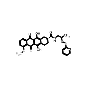 COc1cccc2c1C(=O)c1c(O)c3c(c(O)c1C2=O)C[C@@H](C(=O)NCC(C)SSc1ccccn1)CC3